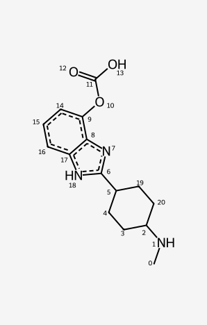 CNC1CCC(c2nc3c(OC(=O)O)cccc3[nH]2)CC1